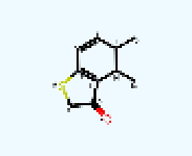 CC1C=CC2=C(C(=O)CS2)C1C